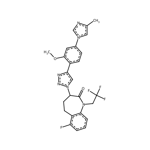 COc1cc(-n2cnc(C)c2)ccc1-c1cn(C2CCc3c(F)cccc3N(CC(F)(F)F)C2=O)nn1